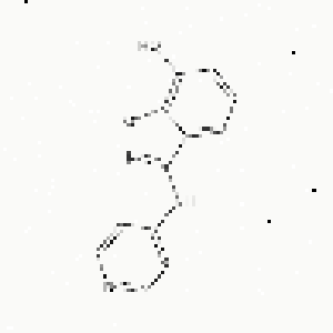 Oc1cccc2c(Nc3ccncc3)noc12